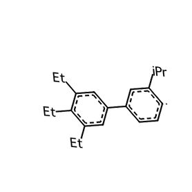 CCc1cc(-c2cc[c]c(C(C)C)c2)cc(CC)c1CC